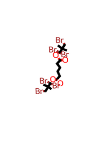 CC(C)(CBr)C(Br)(Br)OC(=O)CCCCC(=O)OC(Br)(Br)C(C)(C)CBr